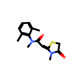 Cc1cccc(C)c1N(C)C(=O)C=C1SCC(=O)N1C